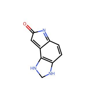 O=C1C=c2c3c(ccc2=N1)NCN3